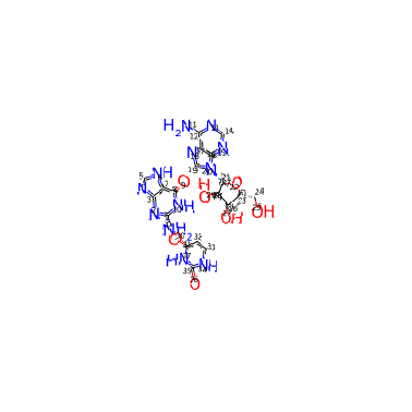 Nc1nc2nc[nH]c2c(=O)[nH]1.Nc1ncnc2c1ncn2[C@@H]1O[C@H](CO)[C@@H](O)[C@H]1O.O=c1cc[nH]c(=O)[nH]1